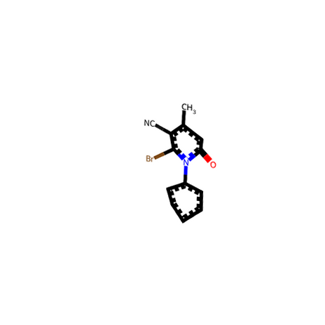 Cc1cc(=O)n(-c2ccccc2)c(Br)c1C#N